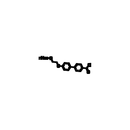 CCCCCCOCCOc1ccc(-c2ccc(C(=O)Cl)cc2)cc1